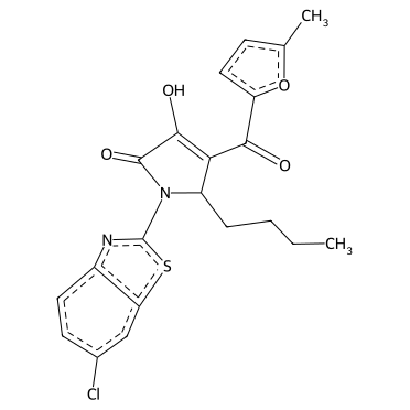 CCCCC1C(C(=O)c2ccc(C)o2)=C(O)C(=O)N1c1nc2ccc(Cl)cc2s1